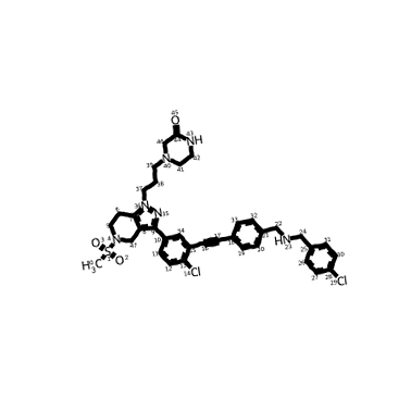 CS(=O)(=O)N1CCc2c(c(-c3ccc(Cl)c(C#Cc4ccc(CNCc5ccc(Cl)cc5)cc4)c3)nn2CCCN2CCNC(=O)C2)C1